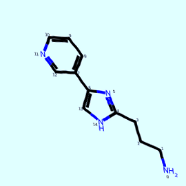 NCCCc1nc(-c2cccnc2)c[nH]1